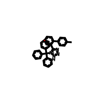 Cc1ccc(-c2ccccc2-c2nn[nH][n+]2C(c2ccccc2)(c2ccccc2)c2ccccc2)cc1